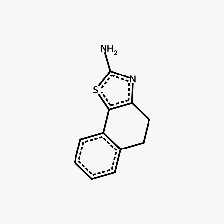 Nc1nc2c(s1)-c1ccccc1CC2